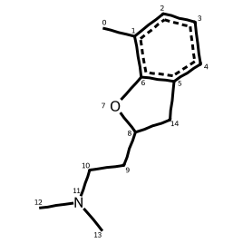 Cc1cccc2c1OC(CCN(C)C)C2